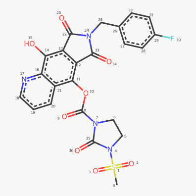 CS(=O)(=O)N1CCN(C(=O)Oc2c3c(c(O)c4ncccc24)C(=O)N(Cc2ccc(F)cc2)C3=O)C1=O